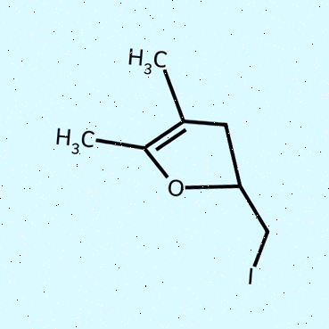 CC1=C(C)OC(CI)C1